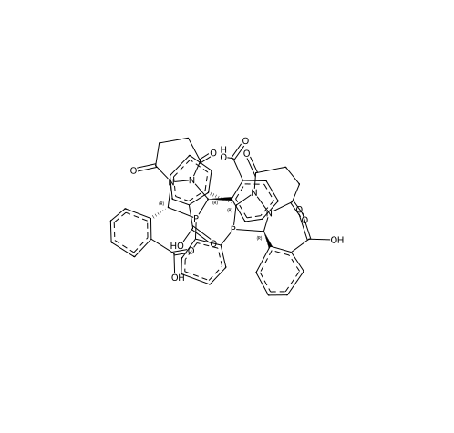 O=C(O)c1ccccc1[C@@H]1N2C(=O)CCC(=O)N2[C@@H](c2ccccc2C(=O)O)P1c1ccccc1P1[C@H](c2ccccc2C(=O)O)N2C(=O)CCC(=O)N2[C@H]1c1ccccc1C(=O)O